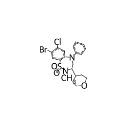 CN1C(C2CCOCC2)CN(c2ccccc2)c2cc(Cl)c(Br)cc2S1(=O)=O